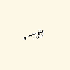 CC(=O)OC(CCCCCCCC(C)(C)C)C(=O)O